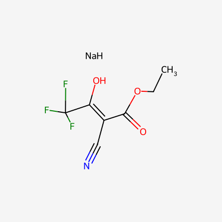 CCOC(=O)C(C#N)=C(O)C(F)(F)F.[NaH]